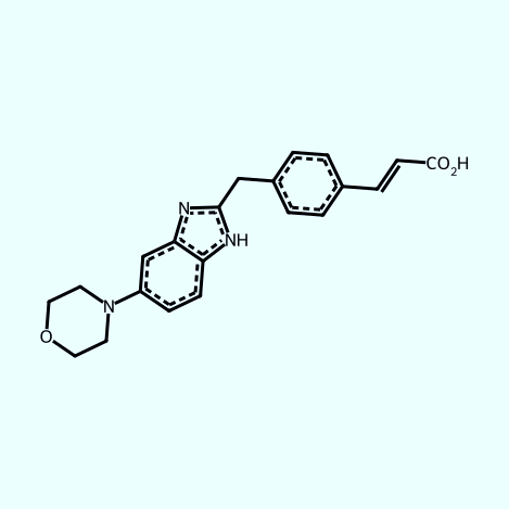 O=C(O)/C=C/c1ccc(Cc2nc3cc(N4CCOCC4)ccc3[nH]2)cc1